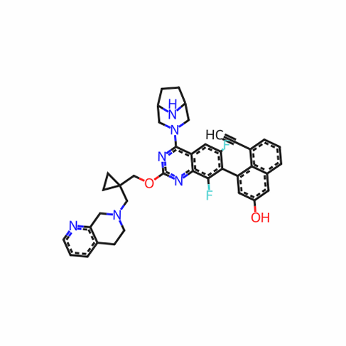 C#Cc1cccc2cc(O)cc(-c3c(F)cc4c(N5CC6CCC(C5)N6)nc(OCC5(CN6CCc7cccnc7C6)CC5)nc4c3F)c12